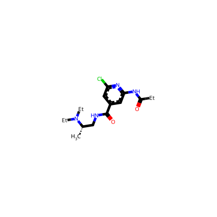 CCC(=O)Nc1cc(C(=O)NC[C@H](C)N(CC)CC)cc(Cl)n1